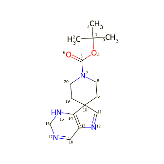 CC(C)(C)OC(=O)N1CCC2(C=NC3=C2NCN=C3)CC1